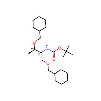 C[C@@H](OCC1CCCCC1)[C@@H](COCC1CCCCC1)NC(=O)OC(C)(C)C